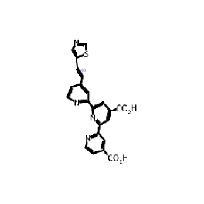 O=C(O)c1ccnc(-c2cc(C(=O)O)cc(-c3cc(/C=C/c4cncs4)ccn3)n2)c1